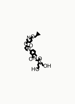 O=C(CN1Cc2ccc(N3CC[C@@H](Oc4ccc(OCC5CC5)nc4)C3=O)cc2C1=O)N(CCO)CCO